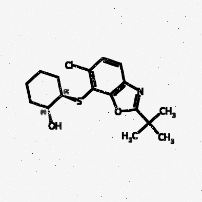 CC(C)(C)c1nc2ccc(Cl)c(S[C@@H]3CCCC[C@H]3O)c2o1